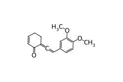 COc1ccc(C=C=C2CCC=CC2=O)cc1OC